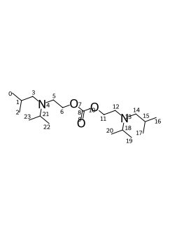 CC(C)CN(CCOC(=O)OCCN(CC(C)C)C(C)C)C(C)C